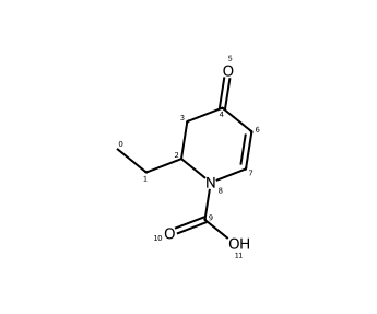 CCC1CC(=O)C=CN1C(=O)O